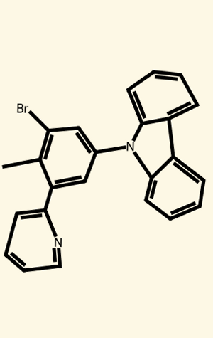 Cc1c(Br)cc(-n2c3ccccc3c3ccccc32)cc1-c1ccccn1